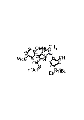 CCCCCCCCOC(=O)c1nn2/c(=C\c3ccc(N(CC)CCCC)cc3C)c(C)nc2c1-c1cc(OC)ccc1OC